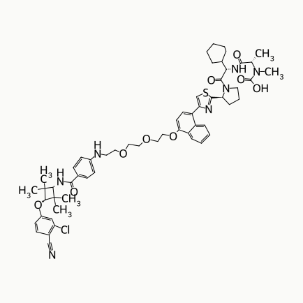 C[C@@H](C(=O)N[C@H](C(=O)N1CCC[C@H]1c1nc(-c2ccc(OCCOCCOCCNc3ccc(C(=O)N[C@H]4C(C)(C)[C@H](Oc5ccc(C#N)c(Cl)c5)C4(C)C)cc3)c3ccccc23)cs1)C1CCCCC1)N(C)C(=O)O